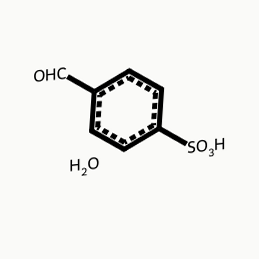 O.O=Cc1ccc(S(=O)(=O)O)cc1